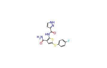 NC(=O)c1cc(Sc2ccc(F)cc2)sc1NC(=O)c1cc[nH]n1